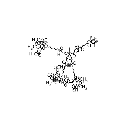 CC(=O)NC1C(OCCCCCCNC(=O)CCOCC(COCCC(=O)NCCCCCCOC2OC(COC(C)=O)C(OC(C)=O)C(OC(C)=O)C2NC(C)=O)(COCCC(=O)NCCCCCCOC2OC(COC(C)=O)C(OC(C)=O)C(OC(C)=O)C2NC(C)=O)NC(=O)c2ccc3c(c2)CCN3C(=O)CCCC(=O)Oc2c(F)c(F)c(F)c(F)c2F)OC(COC(C)=O)C(OC(C)=O)C1OC(C)=O